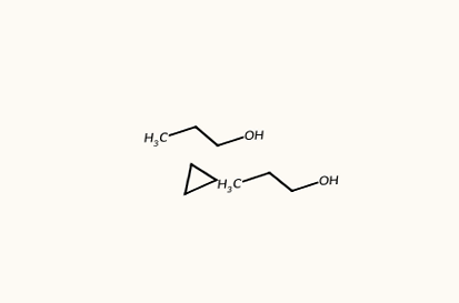 C1CC1.CCCO.CCCO